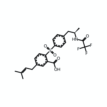 CC(C)=CCc1ccc(S(=O)(=O)c2ccc(C[C@@H](C)NC(=O)C(F)(F)F)cc2)c(C(=O)O)c1